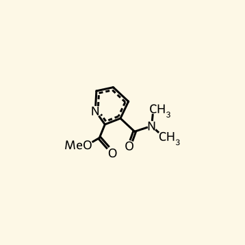 COC(=O)c1ncccc1C(=O)N(C)C